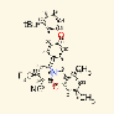 Cc1ccc(Cn2c(-c3ccc(Oc4cccc(C(C)(C)C)c4)cc3)cc(C(F)(F)F)c(C#N)c2=O)c(C)c1